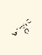 CC(C)N1CCC(N(CC(=O)N2CCOCC2)S(=O)(=O)CCNC(=O)Oc2ccc(Cl)s2)CC1